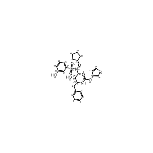 O=C(N[C@@H](Cc1ccccc1)[C@H](O)CN(OC1CCCC1)S(=O)(=O)c1cccc(O)c1)Oc1ccoc1